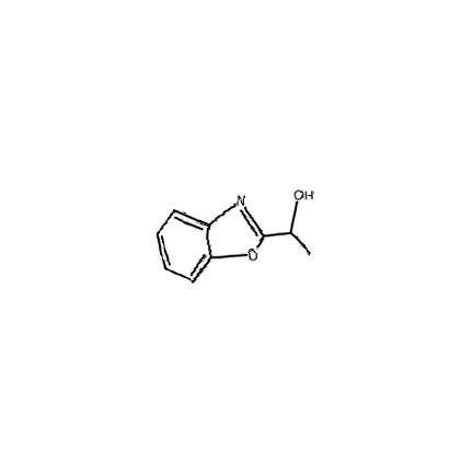 CC(O)c1nc2ccccc2o1